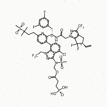 C=C[C@@H]1Cc2c(C(F)(F)F)nn(CC(=O)N[C@@H](Cc3cc(F)cc(F)c3)c3nc(CCC(C)(C)S(C)(=O)=O)ccc3-c3ccc(Cl)c4c(N(COC(=O)CCP(=O)(O)O)S(C)(=O)=O)nn(CC(F)(F)F)c34)c2C1(F)F